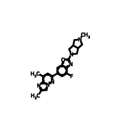 Cc1cn2nc(-c3cc(F)c4nc(N5CC6CN(C)CC6C5)oc4c3)cc(C)c2n1